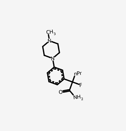 CCCC(F)(C(N)=O)c1cccc(N2CCN(C)CC2)c1